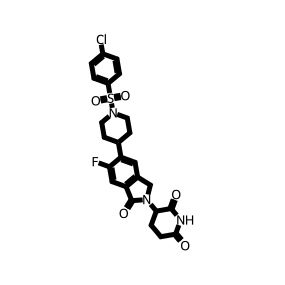 O=C1CCC(N2Cc3cc(C4CCN(S(=O)(=O)c5ccc(Cl)cc5)CC4)c(F)cc3C2=O)C(=O)N1